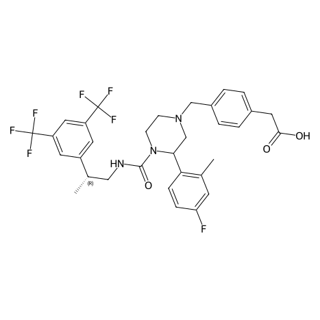 Cc1cc(F)ccc1C1CN(Cc2ccc(CC(=O)O)cc2)CCN1C(=O)NC[C@H](C)c1cc(C(F)(F)F)cc(C(F)(F)F)c1